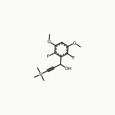 COc1cc(OC)c(F)c(C(O)C#C[Si](C)(C)C)c1F